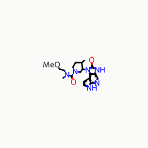 COCCN(C)C(=O)N1CCC(C)C(n2c(=O)[nH]c3cnc4[nH]ccc4c32)C1